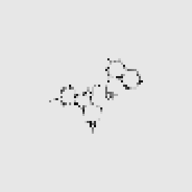 Cc1ccc2c(c1)c1c(n2CC(O)c2cncc3ccccc23)CCN(C)C1